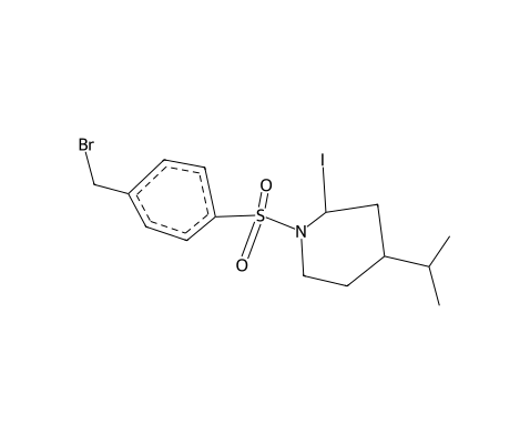 CC(C)C1CCN(S(=O)(=O)c2ccc(CBr)cc2)C(I)C1